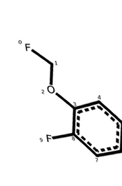 FCOc1ccccc1F